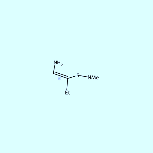 CC/C(=C/N)SNC